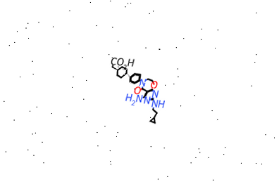 Nc1nc(NCCC2CC2)nc2c1C(=O)N(c1ccc([C@H]3CC[C@H](CC(=O)O)CC3)cc1)CCO2